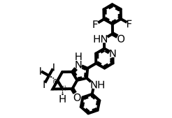 O=C(Nc1cc(-c2[nH]c3c(c2Nc2ccccc2)C(=O)[C@H]2C[C@@]2(C(I)(I)I)C3)ccn1)c1c(F)cccc1F